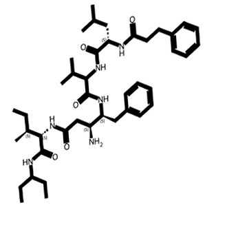 CCC(CC)NC(=O)[C@@H](NC(=O)C[C@H](N)[C@H](Cc1ccccc1)NC(=O)C(NC(=O)[C@H](CC(C)C)NC(=O)CCc1ccccc1)C(C)C)[C@@H](C)CC